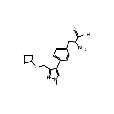 Cn1cc(-c2ccc(C[C@H](N)C(=O)O)cc2)c(COC2CCC2)n1